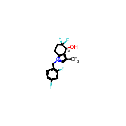 O[C@H]1c2c(C(F)(F)F)cn(Cc3ccc(F)cc3F)c2CCC1(F)F